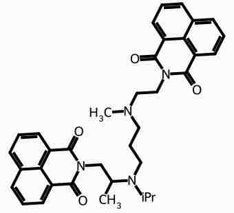 CC(C)N(CCCN(C)CCN1C(=O)c2cccc3cccc(c23)C1=O)C(C)CN1C(=O)c2cccc3cccc(c23)C1=O